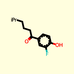 CC(C)CCCC(=O)c1ccc(O)c(F)c1